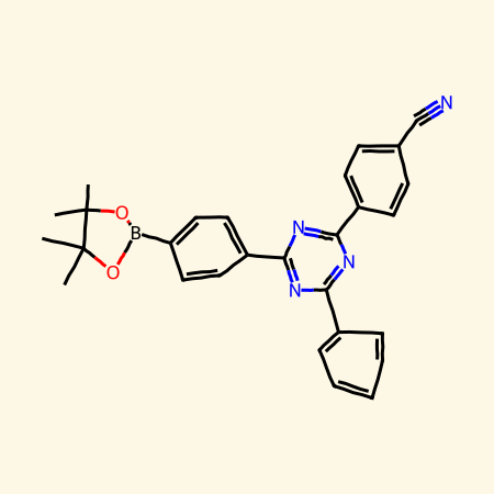 CC1(C)OB(c2ccc(-c3nc(-c4ccccc4)nc(-c4ccc(C#N)cc4)n3)cc2)OC1(C)C